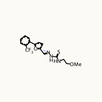 COCCNC(=S)N/N=C/c1ccc(-c2ccccc2C(F)(F)F)o1